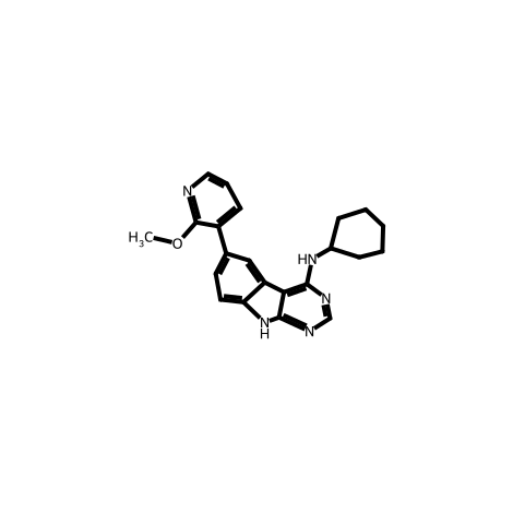 COc1ncccc1-c1ccc2[nH]c3ncnc(NC4CCCCC4)c3c2c1